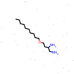 CCCCCCCCCCOCCC(N)CN